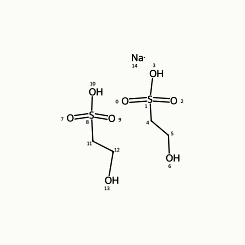 O=S(=O)(O)CCO.O=S(=O)(O)CCO.[Na]